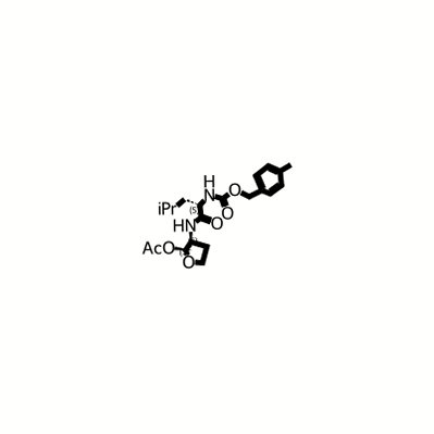 CC(=O)O[C@@H]1OCC[C@@H]1NC(=O)[C@H](CC(C)C)NC(=O)OCc1ccc(C)cc1